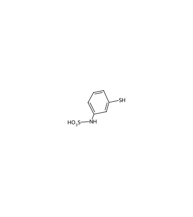 O=S(=O)(O)Nc1cccc(S)c1